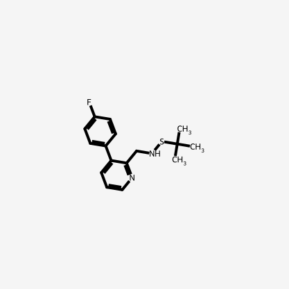 CC(C)(C)SNCc1ncccc1-c1ccc(F)cc1